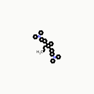 C/C=C\C=C/c1cc(-c2ccc3cc(N(c4ccccc4)c4ccccc4)ccc3c2)c2ccccc2c1-c1ccc2cc(N(c3ccccc3)c3ccccc3)ccc2c1